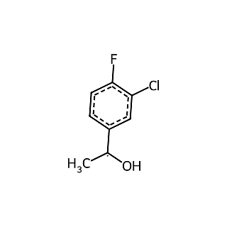 C[C](O)c1ccc(F)c(Cl)c1